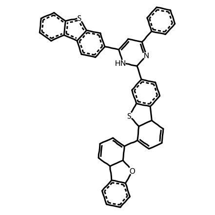 C1=CC2c3ccccc3OC2C(C2=CC=CC3c4ccc(C5N=C(c6ccccc6)C=C(c6ccc7c(c6)sc6ccccc67)N5)cc4SC23)=C1